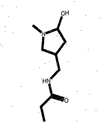 CCC(=O)NCC1CC(O)N(C)C1